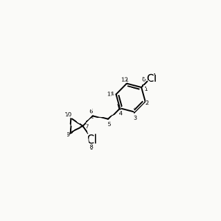 Clc1ccc(C[CH]C2(Cl)CC2)cc1